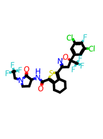 O=C(NC1CCN(CC(F)(F)F)C1=O)c1sc(C2=NOC(c3cc(Cl)c(F)c(Cl)c3)(C(F)(F)F)C2)c2c1CCCC2